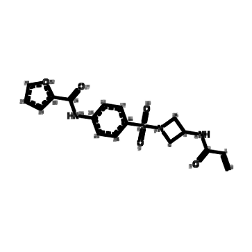 C=CC(=O)NC1CN(S(=O)(=O)c2ccc(NC(=O)c3ccco3)cc2)C1